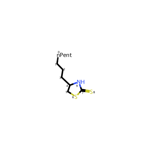 CCCCCCCCC1CSC(=S)N1